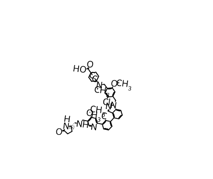 COc1cc(-c2cccc(-c3cccc4c3cnn4Cc3cc(OC)c(CN(C)C45CCC(C(=O)O)(CC4)CC5)cc3Cl)c2C)ncc1CNC[C@@H]1CCC(=O)N1